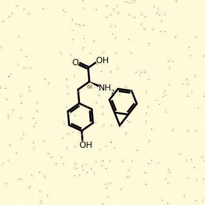 N[C@@H](Cc1ccc(O)cc1)C(=O)O.c1ccc2c(c1)C2